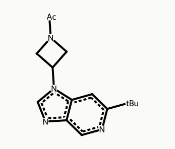 CC(=O)N1CC(n2cnc3cnc(C(C)(C)C)cc32)C1